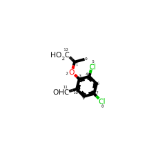 CC(Oc1c(Cl)cc(Cl)cc1C=O)C(=O)O